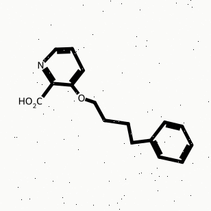 O=C(O)c1ncccc1OCCCCc1ccccc1